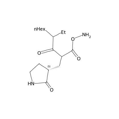 CCCCCCC(CC)C(=O)C(C[C@H]1CCNC1=O)C(=O)ON